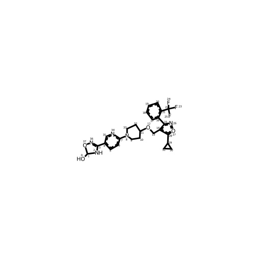 OC1NC(c2ccc(N3CCC(OCc4c(-c5ccccc5C(F)(F)F)noc4C4CC4)CC3)nc2)=NO1